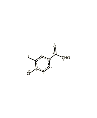 Cc1cc(C(=O)C=O)ccc1Cl